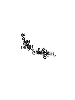 Cc1ncsc1-c1ccc([C@H](C)NC(=O)[C@@H]2CCCN2C(=O)[C@@H](NC(=O)CCCCNC(=O)C2CCN(CC[C@H](CSc3ccccc3)Nc3ccc(S(N)(=O)=O)cc3S(=O)(=O)C(F)(F)F)CC2)C(C)(C)C)cc1